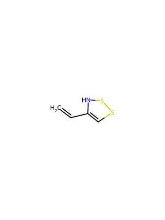 C=CC1=CSSN1